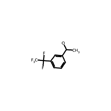 CC([O])c1cccc(C(F)(F)C(F)(F)F)c1